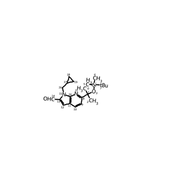 CC(C)(O[Si](C)(C)C(C)(C)C)c1ccc2cc(C=O)n(CC3CC3)c2n1